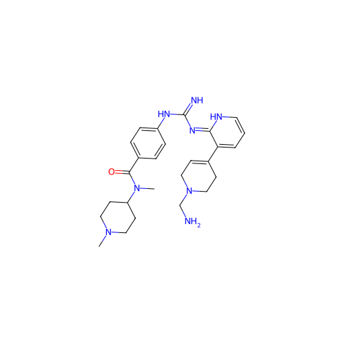 CN1CCC(N(C)C(=O)c2ccc(NC(=N)/N=c3\[nH]cccc3C3=CCN(CN)CC3)cc2)CC1